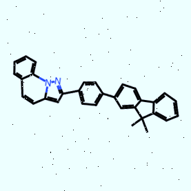 CC1(C)c2ccccc2-c2ccc(-c3ccc(-c4cc5ccc6ccccc6n5n4)cc3)cc21